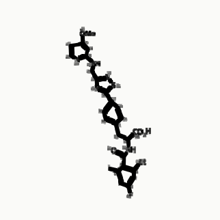 CCc1cc(F)cc(C)c1C(=O)NC(Cc1ccc(-c2nc(CNc3cc(OC)ccn3)ns2)cc1)C(=O)O